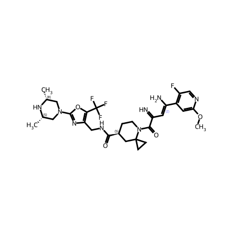 COc1cc(/C(N)=C/C(=N)C(=O)N2CC[C@H](C(=O)NCc3nc(N4C[C@@H](C)N[C@@H](C)C4)oc3C(F)(F)F)CC23CC3)c(F)cn1